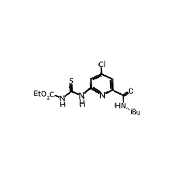 CCOC(=O)NC(=S)Nc1cc(Cl)cc(C(=O)N[C@@H](C)CC)n1